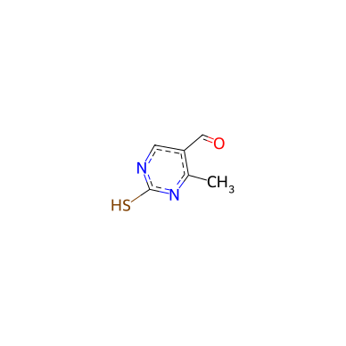 Cc1nc(S)ncc1C=O